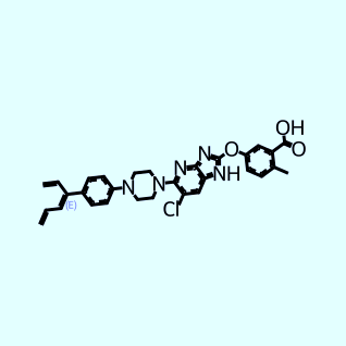 C=C/C=C(\C=C)c1ccc(N2CCN(c3nc4nc(Oc5ccc(C)c(C(=O)O)c5)[nH]c4cc3Cl)CC2)cc1